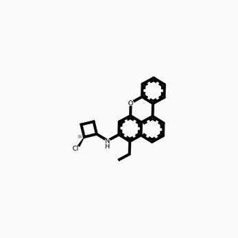 CCc1c(NC2CC[C@@H]2Cl)cc2c3c(cccc13)-c1ccccc1O2